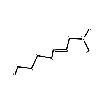 CCCCCC=CCN(C)C